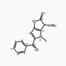 CCCCC1C(=O)Oc2cc(C(=O)c3ccccc3)n(C)c21